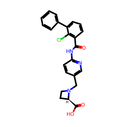 O=C(Nc1ccc(CN2CC[C@@H]2C(=O)O)cn1)c1cccc(-c2ccccc2)c1Cl